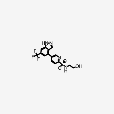 O=S(=O)(NCCO)c1ccc(-c2cc(C(F)(F)F)cc3[nH]ncc23)cn1